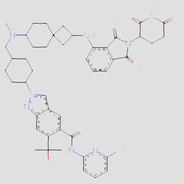 CN(CC1CCC(n2cc3cc(C(=O)Nc4cccc(C(F)(F)F)n4)c(C(C)(C)O)cc3n2)CC1)C1CCC2(CC1)CC(Nc1cccc3c1C(=O)N(C1CCC(=O)NC1=O)C3=O)C2